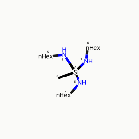 CCCCCCN[Si](C)(NCCCCCC)NCCCCCC